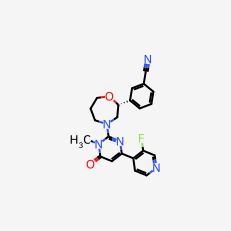 Cn1c(N2CCCO[C@H](c3cccc(C#N)c3)C2)nc(-c2ccncc2F)cc1=O